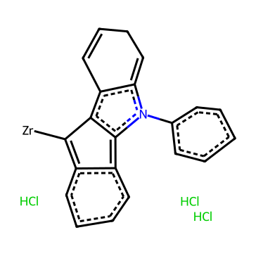 Cl.Cl.Cl.[Zr][C]1=c2ccccc2=c2c1c1c(n2-c2ccccc2)=CCC=C1